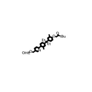 CCC(CC)(c1ccc(OCC(=O)C(C)(C)C)c(C)c1)c1ccc(-c2ccc(COC=O)cn2)c(C)c1